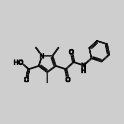 Cc1c(C(=O)C(=O)Nc2ccccc2)c(C)n(C)c1C(=O)O